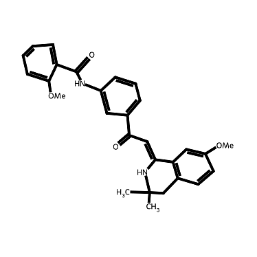 COc1ccc2c(c1)C(=CC(=O)c1cccc(NC(=O)c3ccccc3OC)c1)NC(C)(C)C2